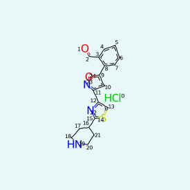 Cl.O=Cc1ccccc1-c1cc(-c2csc(C3CCNCC3)n2)no1